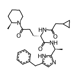 C[C@H](NC(=O)[C@H](CCC(=O)N1CCCC[C@@H]1C)NC(=O)CC1CC1)c1ncc(Cc2ccccc2)[nH]1